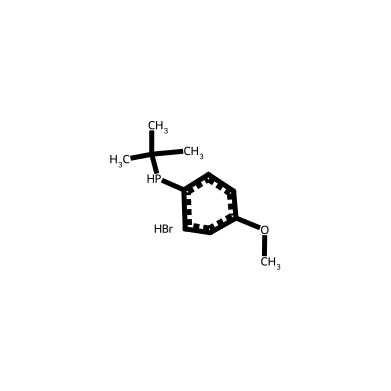 Br.COc1ccc(PC(C)(C)C)cc1